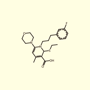 CCSC1C(C(=O)O)=C(C)C=C(N2CCOCC2)N1CCCc1cccc(F)c1